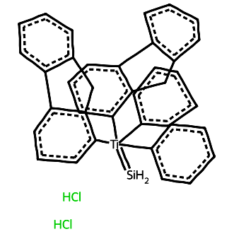 Cl.Cl.[SiH2]=[Ti]([c]1ccccc1)([c]1ccccc1)([c]1cccc2c1Cc1ccccc1-2)[c]1cccc2c1Cc1ccccc1-2